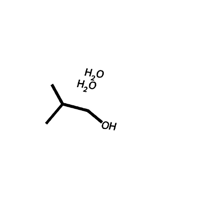 CC(C)CO.O.O